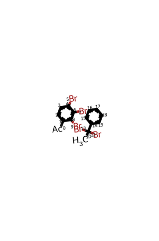 CC(=O)c1ccc(Br)c(Br)c1Br.CC(Br)(Br)c1ccccc1